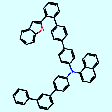 c1ccc(-c2cccc(-c3ccc(N(c4ccc(-c5ccc(-c6ccccc6-c6cc7ccccc7o6)cc5)cc4)c4cccc5ccccc45)cc3)c2)cc1